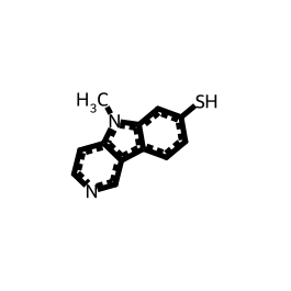 Cn1c2ccncc2c2ccc(S)cc21